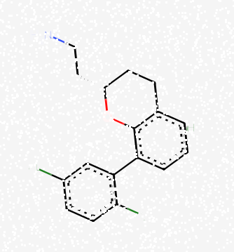 Cl.NCC[C@@H]1CCc2cccc(-c3cc(Cl)ccc3Cl)c2O1